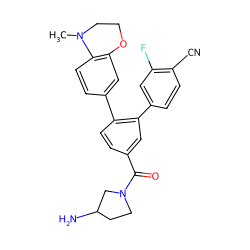 CN1CCOc2cc(-c3ccc(C(=O)N4CCC(N)C4)cc3-c3ccc(C#N)c(F)c3)ccc21